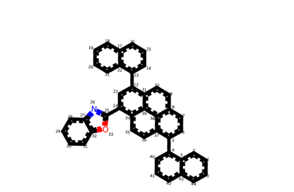 c1ccc2c(-c3ccc4ccc5c(-c6cccc7ccccc67)cc(-c6nc7ccccc7o6)c6ccc3c4c65)cccc2c1